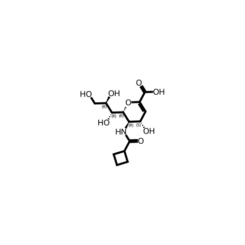 O=C(O)C1=C[C@H](O)[C@@H](NC(=O)C2CCC2)[C@H]([C@H](O)[C@H](O)CO)O1